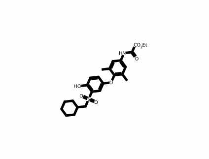 CCOC(=O)C(=O)Nc1cc(C)c(Oc2ccc(O)c(S(=O)(=O)CC3CCCCC3)c2)c(C)c1